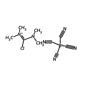 CN(C)C(Cl)=[N+](C)C.N#C[B-](C#N)(C#N)C#N